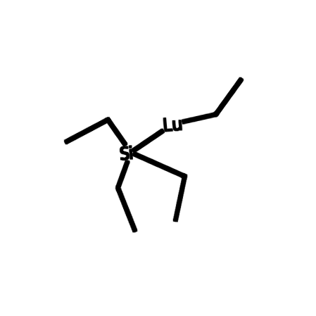 C[CH2][Lu][Si](CC)(CC)CC